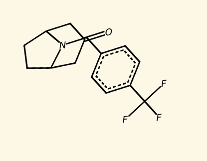 O=C1CC2CCC(C1)N2Cc1ccc(C(F)(F)F)cc1